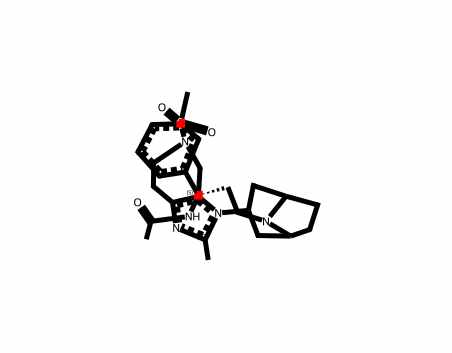 CC(=O)N[C@@H](CCN1C2CCC1CC(n1c(C)nc3c1CN(S(C)(=O)=O)CC3)C2)c1ccccc1